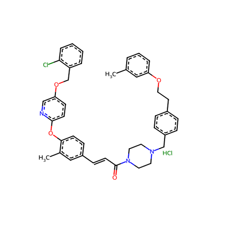 Cc1cccc(OCCc2ccc(CN3CCN(C(=O)C=Cc4ccc(Oc5ccc(OCc6ccccc6Cl)cn5)c(C)c4)CC3)cc2)c1.Cl